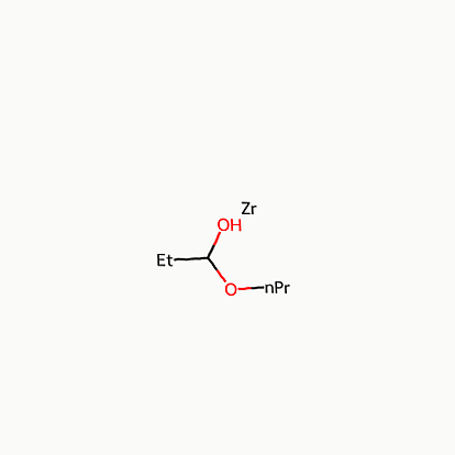 CCCOC(O)CC.[Zr]